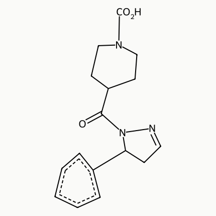 O=C(O)N1CCC(C(=O)N2N=CCC2c2ccccc2)CC1